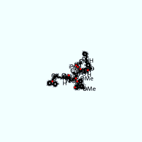 COc1ccc(C(OC[C@H]2O[C@@H](n3cnc4c(NC(=O)CCCN(C)C(=O)OCC5c6ccccc6-c6ccccc65)ncnc43)C[C@H]2OP(OCCC#N)OC[C@H]2O[C@@H](n3ccc(NC(=O)c4ccc(CNC(=O)Cc5ccccc5)cc4)nc3=O)CC2OP(OCCC#N)N(C(C)C)C(C)C)(c2ccccc2)c2ccc(OC)cc2)cc1